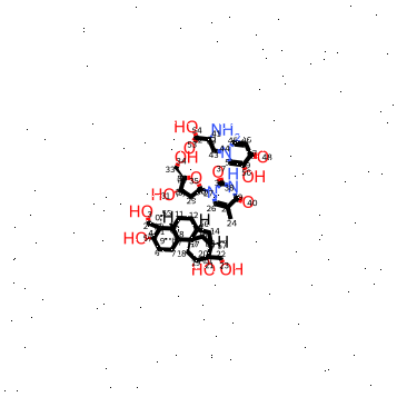 C[C@@]1(CO)[C@H](O)CC[C@@]2(C)[C@H]1CC[C@H]1C[C@@H]3C[C@@]12CC[C@]3(O)CO.Cc1cn([C@H]2C[C@H](O)[C@@H](CO)O2)c(=O)[nH]c1=O.N[C@@H](Cn1ccc(=O)c(O)c1)C(=O)O